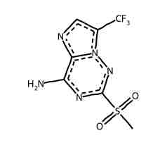 CS(=O)(=O)c1nc(N)c2ncc(C(F)(F)F)n2n1